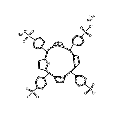 O=S(=O)([O-])c1ccc(-c2c3nc(c(-c4ccc(S(=O)(=O)[O-])cc4)c4ccc([nH]4)c(-c4ccc(S(=O)(=O)[O-])cc4)c4nc(c(-c5ccc(S(=O)(=O)[O-])cc5)c5ccc2[nH]5)C=C4)C=C3)cc1.[Co+2].[Na+].[Na+]